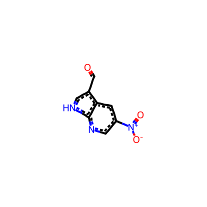 O=Cc1c[nH]c2ncc([N+](=O)[O-])cc12